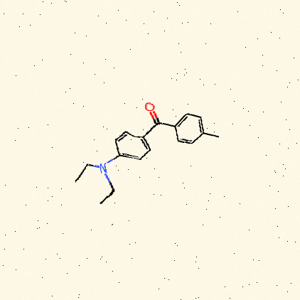 CCN(CC)c1ccc(C(=O)c2ccc(C)cc2)cc1